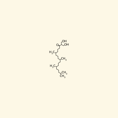 CC(C)CCCC(C)CCCC(C)CCCC(C)CCCC(=O)C(CO)CO